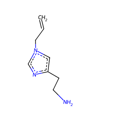 C=CCn1cnc(CCN)c1